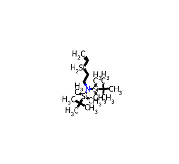 C=C[SiH2]CCN([Si](C)(C)C(C)(C)C)[Si](C)(C)C(C)(C)C